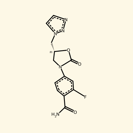 NC(=O)c1ccc(N2C[C@H](Cn3ccnn3)OC2=O)cc1F